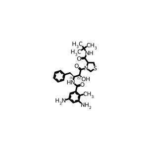 Cc1c(N)cc(N)cc1C(=O)N[C@@H](Cc1ccccc1)[C@H](O)C(=O)N1CSCC1C(=O)NC(C)(C)C